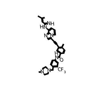 CC(C)=CC(=N)Nc1cccn2c(C#Cc3cc(C(=O)Nc4ccc(CN5CCN(C)CC5)c(C(F)(F)F)c4)ccc3C)cnc12